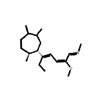 CC\C(=C/C=C(\C=N\C)OC)[C@H]1CC(C)C(C)CC[C@@H]1C